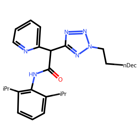 CCCCCCCCCCCCn1nnc(C(C(=O)Nc2c(C(C)C)cccc2C(C)C)c2ccccn2)n1